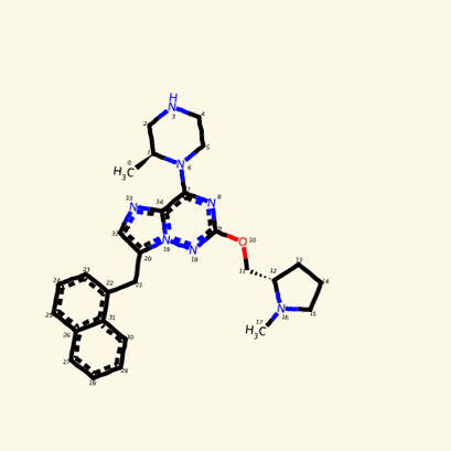 C[C@H]1CNCCN1c1nc(OC[C@@H]2CCCN2C)nn2c(Cc3cccc4ccccc34)cnc12